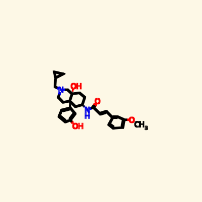 COc1cccc(C=CC(=O)N[C@H]2CC[C@]3(O)CN(CC4CC4)CC[C@@]3(c3cccc(O)c3)C2)c1